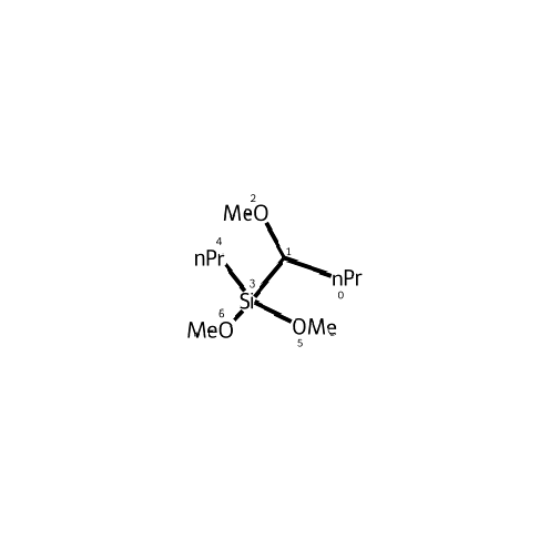 CCCC(OC)[Si](CCC)(OC)OC